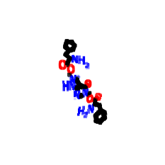 N[C@@H](Cc1ccccc1)C(=O)OCn1cnc2[nH][n+](COC(=O)[C@@H](N)Cc3ccccc3)cc2c1=O